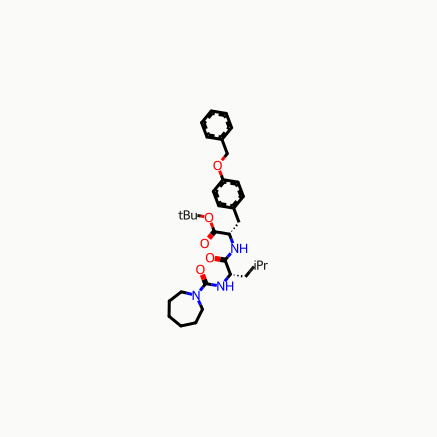 CC(C)C[C@H](NC(=O)N1CCCCCC1)C(=O)N[C@@H](Cc1ccc(OCc2ccccc2)cc1)C(=O)OC(C)(C)C